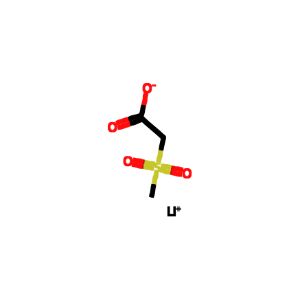 CS(=O)(=O)CC(=O)[O-].[Li+]